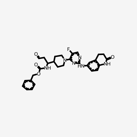 O=CCC(NC(=O)OCc1ccccc1)C1CCN(c2nc(Nc3ccc4c(c3)CCC(=O)N4)ncc2F)CC1